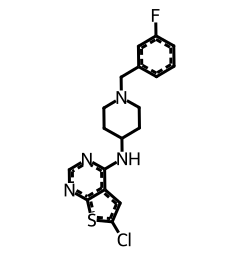 Fc1cccc(CN2CCC(Nc3ncnc4sc(Cl)cc34)CC2)c1